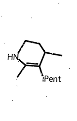 CCCC(C)C1=C(C)NCCC1C